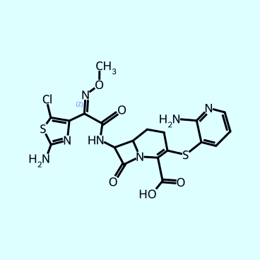 CO/N=C(\C(=O)NC1C(=O)N2C(C(=O)O)=C(Sc3cccnc3N)CCC12)c1nc(N)sc1Cl